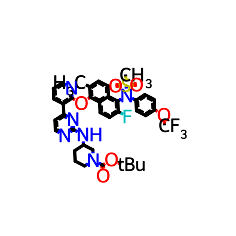 Cc1ccc2c(N(c3ccc(OC(F)(F)F)cc3)S(C)(=O)=O)c(F)ccc2c1Oc1ncccc1-c1ccnc(NC2CCCN(C(=O)OC(C)(C)C)C2)n1